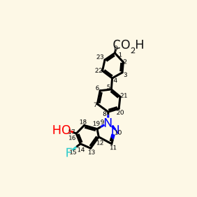 O=C(O)c1ccc(-c2ccc(-n3ncc4cc(F)c(O)cc43)cc2)cc1